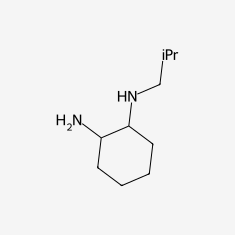 CC(C)CNC1CCCCC1N